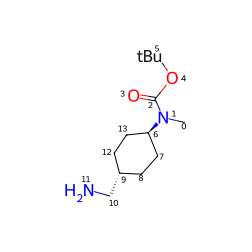 CN(C(=O)OC(C)(C)C)[C@H]1CC[C@H](CN)CC1